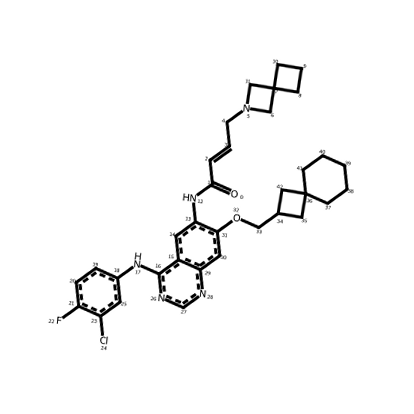 O=C(/C=C/CN1CC2(CCC2)C1)Nc1cc2c(Nc3ccc(F)c(Cl)c3)ncnc2cc1OCC1CC2(CCCCC2)C1